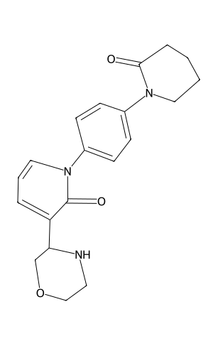 O=C1CCCCN1c1ccc(-n2cccc(C3COCCN3)c2=O)cc1